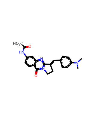 CN(C)c1ccc(C=C2CCn3c2nc2cc(NC(=O)C(=O)O)ccc2c3=O)cc1